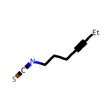 CCC#CCCCN=C=S